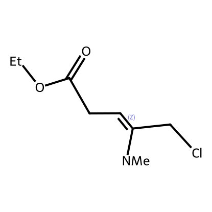 CCOC(=O)C/C=C(/CCl)NC